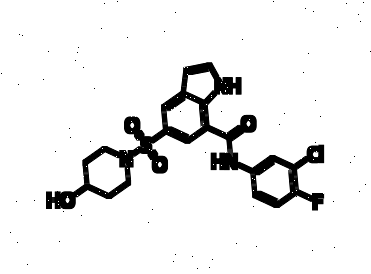 O=C(Nc1ccc(F)c(Cl)c1)c1cc(S(=O)(=O)N2CCC(O)CC2)cc2cc[nH]c12